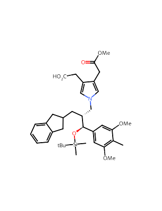 COC(=O)Cc1cn(C[C@@H](CC2Cc3ccccc3C2)[C@H](O[Si](C)(C)C(C)(C)C)c2cc(OC)c(C)c(OC)c2)cc1CC(=O)O